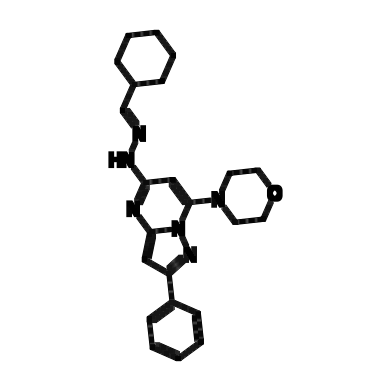 C(=N\Nc1cc(N2CCOCC2)n2nc(-c3ccccc3)cc2n1)/C1CCCCC1